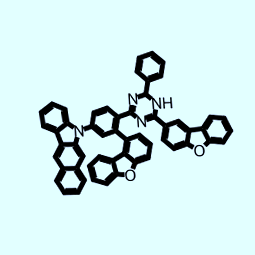 c1ccc(C2N=C(c3ccc(-n4c5ccccc5c5cc6ccccc6cc54)cc3-c3cccc4oc5ccccc5c34)N=C(c3ccc4oc5ccccc5c4c3)N2)cc1